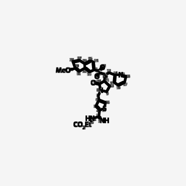 CCOC(=O)NC(=N)c1cc(CN2CCC(N(Cc3ccccn3)S(=O)(=O)c3ccc4ccc(OC)cc4c3)C2=O)cs1